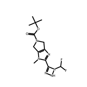 Cn1c(-c2n[nH]n2C(F)F)nc2c1CN(C(=O)OC(C)(C)C)C2